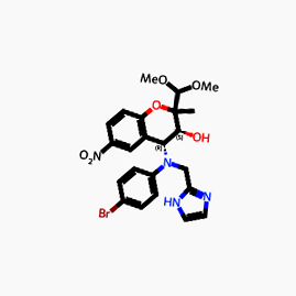 COC(OC)C1(C)Oc2ccc([N+](=O)[O-])cc2[C@@H](N(Cc2ncc[nH]2)c2ccc(Br)cc2)[C@@H]1O